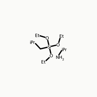 CC(C)N.CCO[Si](CC(C)C)(OCC)OCC